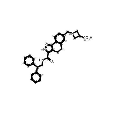 O=C(NCC(c1ccccc1)c1ccccc1)c1noc2c1CCc1cc(CN3CC(C(=O)O)C3)ccc1-2